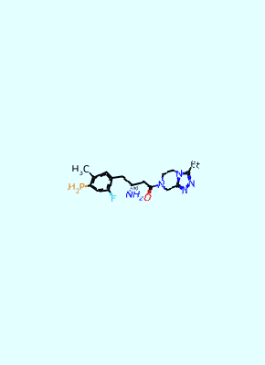 CCc1nnc2n1CCN(C(=O)C[C@H](N)Cc1cc(C)c(P)cc1F)C2